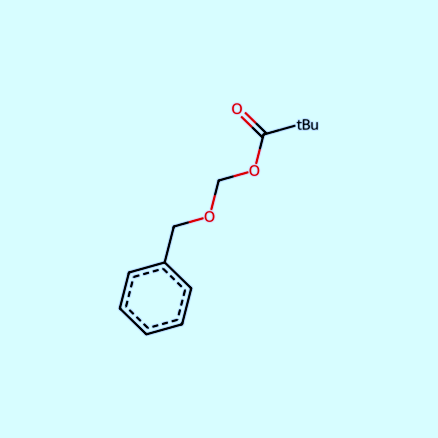 CC(C)(C)C(=O)OCOCc1ccccc1